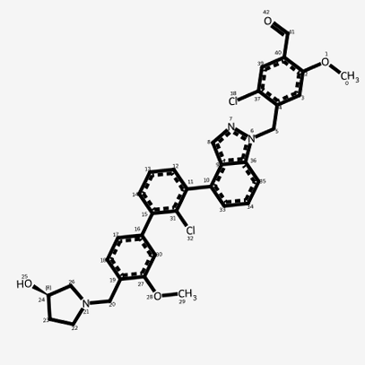 COc1cc(Cn2ncc3c(-c4cccc(-c5ccc(CN6CC[C@@H](O)C6)c(OC)c5)c4Cl)cccc32)c(Cl)cc1C=O